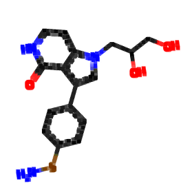 NSc1ccc(-c2cn(CC(O)CO)c3cc[nH]c(=O)c23)cc1